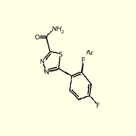 NC(=O)c1nnc(-c2ccc(F)cc2F)s1.[Ar]